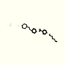 C=CCCCCOc1ccc(C(=O)Oc2ccc(CCC3CCC(CCCCC)CC3)cc2)cc1